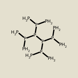 PP(P)P(P(P)P)P(P(P)P)P(P)P